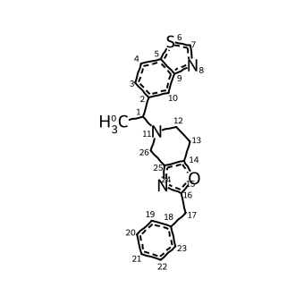 CC(c1ccc2scnc2c1)N1CCc2oc(Cc3ccccc3)nc2C1